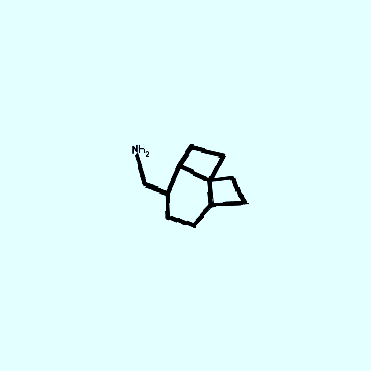 NCC1CCC2CCC23CCC13